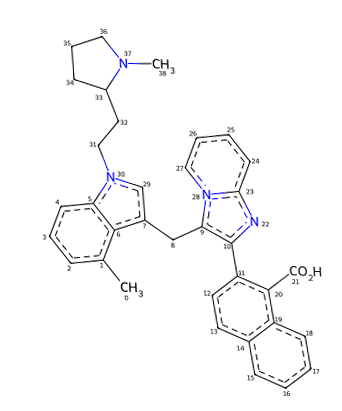 Cc1cccc2c1c(Cc1c(-c3ccc4ccccc4c3C(=O)O)nc3ccccn13)cn2CCC1CCCN1C